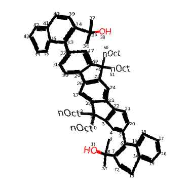 CCCCCCCCC1(CCCCCCCC)c2cc(-c3c(C(C)(C)O)ccc4ccccc34)ccc2-c2cc3c(cc21)-c1ccc(-c2c(C(C)(C)O)ccc4ccccc24)cc1C3(CCCCCCCC)CCCCCCCC